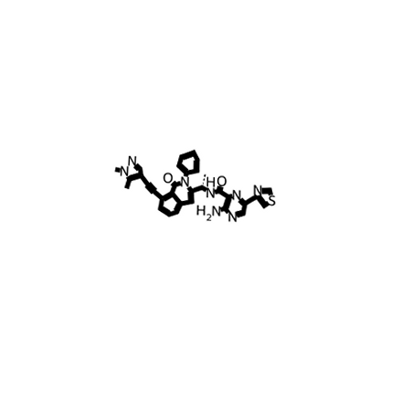 Cc1c(C#Cc2cccc3cc([C@H](C)NC(=O)c4nc(-c5cscn5)cnc4N)n(-c4ccccc4)c(=O)c23)cnn1C